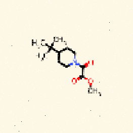 COC(=O)C(=O)N1CCC(C(C)(C)C)CC1